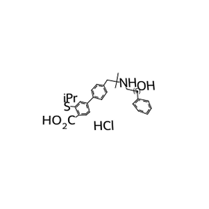 CC(C)Sc1cc(-c2ccc(CC(C)(C)NC[C@@H](O)c3ccccc3)cc2)ccc1C(=O)O.Cl